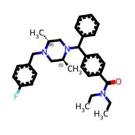 CCN(CC)C(=O)c1ccc(C(c2ccccc2)N2C[C@@H](C)N(Cc3ccc(F)cc3)C[C@@H]2C)cc1